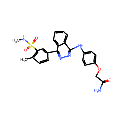 CNS(=O)(=O)c1cc(-c2nnc(Nc3ccc(OCC(N)=O)cc3)c3ccccc23)ccc1C